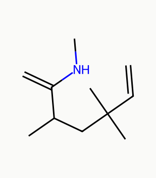 C=CC(C)(C)CC(C)C(=C)NC